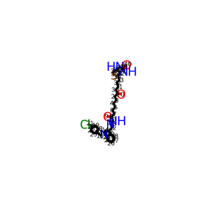 O=C(CCCCCCC(=O)N/N=C/c1cn(Cc2ccc(Cl)cc2)c2ccccc12)CCCCC1SCC2NC(=O)NC21